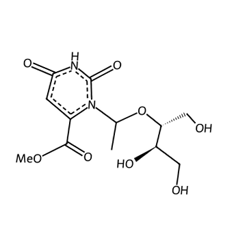 COC(=O)c1cc(=O)[nH]c(=O)n1C(C)O[C@H](CO)[C@H](O)CO